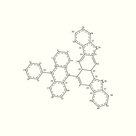 C1=C(c2c3ccccc3c(-c3ccccc3)c3ccccc23)C2C=c3c(sc4ccccc34)=CC2c2sc3ccccc3c21